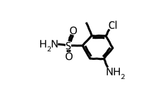 Cc1c(Cl)cc(N)cc1S(N)(=O)=O